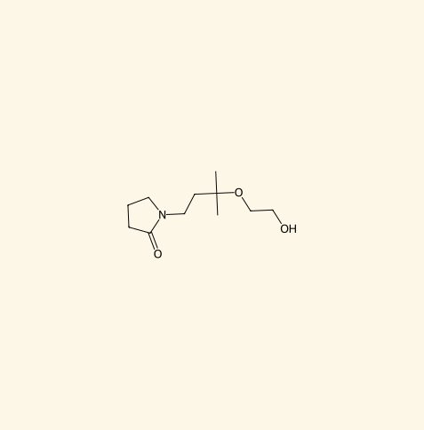 CC(C)(CCN1CCCC1=O)OCCO